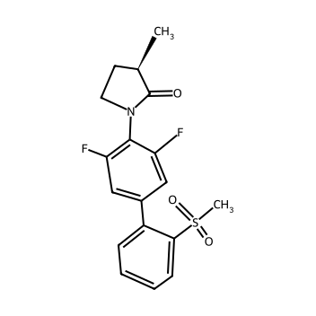 C[C@@H]1CCN(c2c(F)cc(-c3ccccc3S(C)(=O)=O)cc2F)C1=O